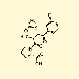 CC(=O)S[C@H](C(=O)c1cccc(F)c1)[C@H](C)C(=O)N1CCC[C@H]1C(=O)O